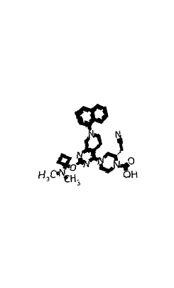 CN(C)C1(Oc2nc3c(c(N4CCN(C(=O)O)[C@@H](CC#N)C4)n2)CCN(c2cccc4ccccc24)C3)CCC1